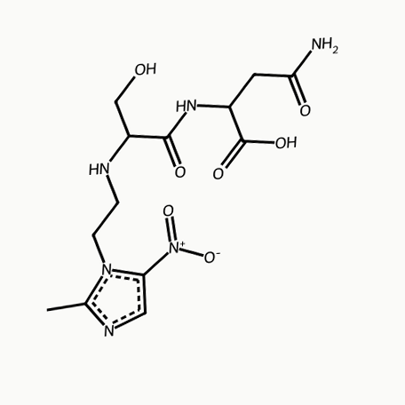 Cc1ncc([N+](=O)[O-])n1CCNC(CO)C(=O)NC(CC(N)=O)C(=O)O